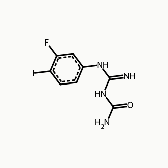 N=C(NC(N)=O)Nc1ccc(I)c(F)c1